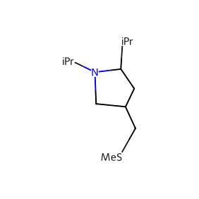 CSCC1CC(C(C)C)N(C(C)C)C1